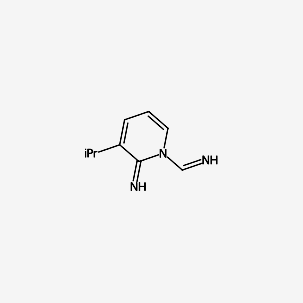 CC(C)c1cccn(C=N)c1=N